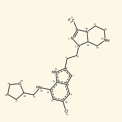 FC(F)(F)C1=NN(CCc2cc3cc(Cl)cc(NCC4CCCO4)c3[nH]2)C2CNCCN12